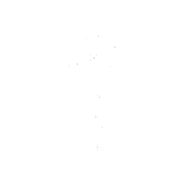 CCCCCCCCOC(CCCCCCCCBr)OCCCCCCCC